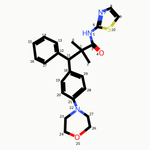 CC(C)(C(=O)Nc1nccs1)C(c1ccccc1)c1ccc(N2CCOCC2)cc1